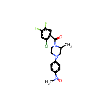 CC1CN(c2ccc([N+](C)=O)cc2)CCN1C(=O)c1cc(F)c(F)cc1Cl